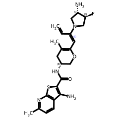 C=C/C(=C\C1=C(C)C[C@@H](NC(=O)c2sc3nc(C)ccc3c2N)CO1)N1C[C@H](N)[C@@H](F)C1